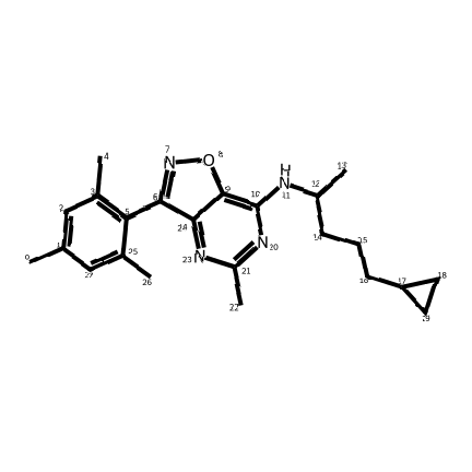 Cc1cc(C)c(-c2noc3c(NC(C)CCCC4CC4)nc(C)nc23)c(C)c1